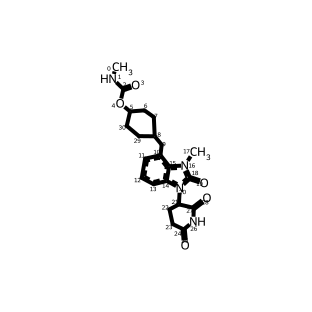 CNC(=O)OC1CCC(Cc2cccc3c2n(C)c(=O)n3C2CCC(=O)NC2=O)CC1